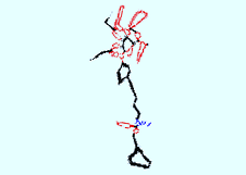 COC(=O)[C@H]1OC(Oc2ccc(CCCCNC(=O)OCc3ccccc3)cc2)[C@H](OC(C)=O)[C@@H](OC(C)=O)[C@@H]1OC(C)=O